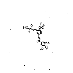 COc1cc(C(=O)/C=C/c2ccc(OC(F)(F)F)c(/C=C/C(=O)NO)c2)cc(OC)c1OC